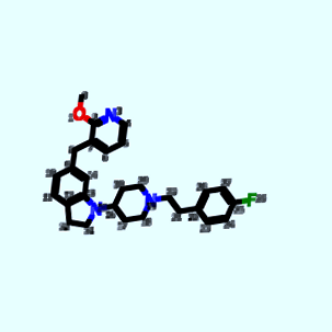 COc1ncccc1Cc1ccc2c(c1)N(C1CCN(CCc3ccc(F)cc3)CC1)CC2